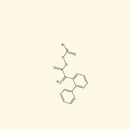 C=C(C(=O)OO[PH](=O)CC)c1ccccc1-c1ccccc1